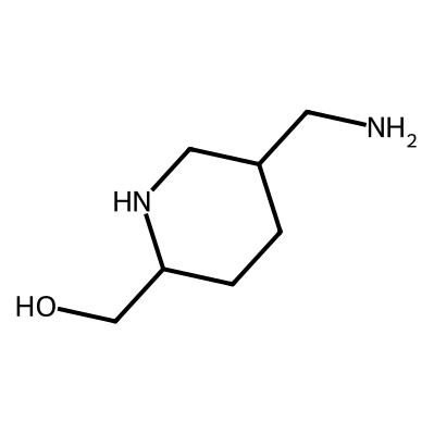 NCC1CCC(CO)NC1